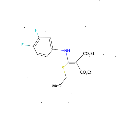 CCOC(=O)C(C(=O)OCC)=C(Nc1ccc(F)c(F)c1)SCOC